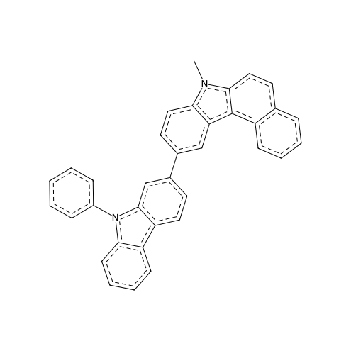 Cn1c2ccc(-c3ccc4c5ccccc5n(-c5ccccc5)c4c3)cc2c2c3ccccc3ccc21